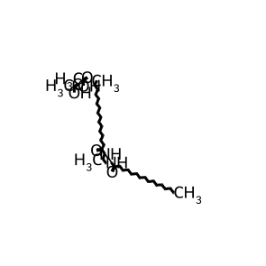 CC(=O)O.CC(=O)O.CCCCCCCCCCCCCCCC(=O)NCC(C)NC(=O)CCCCCCCCCCCCCCC